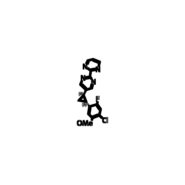 COc1cc([C@@H]2C[C@H]2c2cnc(-c3ncccn3)nc2)c(F)cc1Cl